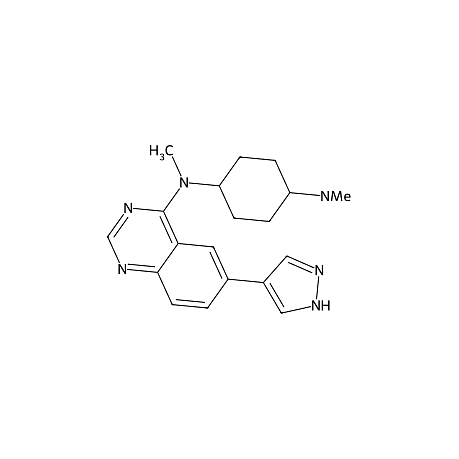 CNC1CCC(N(C)c2ncnc3ccc(-c4cn[nH]c4)cc23)CC1